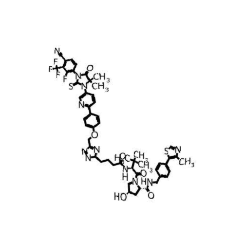 Cc1ncsc1-c1ccc(CNC(=O)[C@@H]2C[C@@H](O)CN2C(=O)[C@@H](NC(=O)CCCC2N=NC(COc3ccc(-c4ccc(N5C(=S)N(c6ccc(C#N)c(C(F)(F)F)c6F)C(=O)C5(C)C)cn4)cc3)=N2)C(C)(C)C)cc1